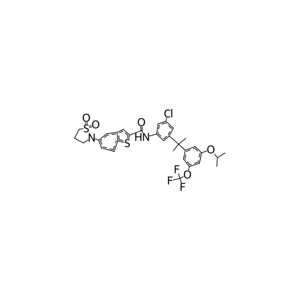 CC(C)Oc1cc(OC(F)(F)F)cc(C(C)(C)c2cc(Cl)cc(NC(=O)c3cc4cc(N5CCCS5(=O)=O)ccc4s3)c2)c1